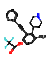 O=C(O)C(F)(F)F.O=C(O)c1cccc(C#Cc2ccccc2)c1C1=CCNCC1